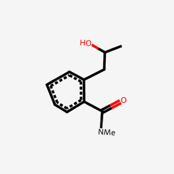 CNC(=O)c1ccccc1CC(C)O